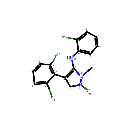 CN1C(Nc2ccccc2F)=C(c2c(F)cccc2F)CN1Cl